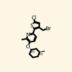 Cc1nc(-c2sc(Cl)cc2CBr)ccc1O[C@H]1CCC[C@H](C)C1